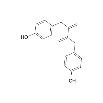 C=C(Cc1ccc(O)cc1)C(=C)Cc1ccc(O)cc1